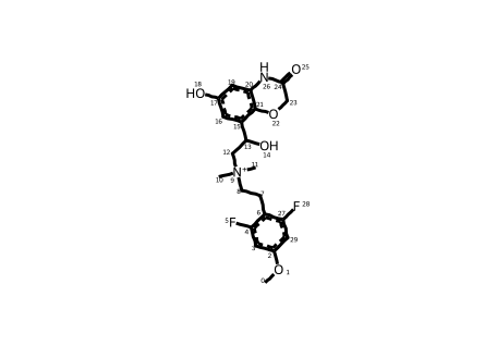 COc1cc(F)c(CC[N+](C)(C)CC(O)c2cc(O)cc3c2OCC(=O)N3)c(F)c1